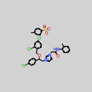 Cc1ccc(S(=O)(=O)[O-])cc1.Cc1ccccc1NC(=O)Cn1cc[n+](CC(OCc2ccc(Cl)cc2Cl)c2ccc(Cl)cc2)c1